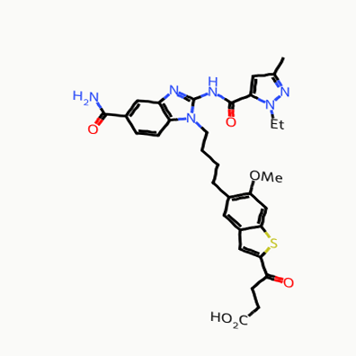 CCn1nc(C)cc1C(=O)Nc1nc2cc(C(N)=O)ccc2n1CCCCc1cc2cc(C(=O)CCC(=O)O)sc2cc1OC